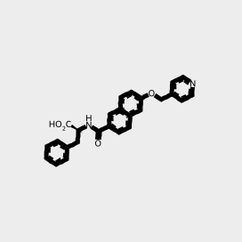 O=C(N[C@@H](Cc1ccccc1)C(=O)O)c1ccc2cc(OCc3ccncc3)ccc2c1